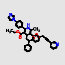 CCOC(=O)C1=C(c2ccc(-n3ccnc3)cc2)NC(C)=C(C(=O)OCCC#Cc2cccnc2)C1CC(c1ccccc1)c1ccccc1